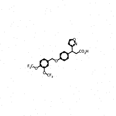 O=C(O)CC(c1ccc(OCc2ccc(OC(F)(F)F)c(OC(F)(F)F)c2)cc1)c1ccon1